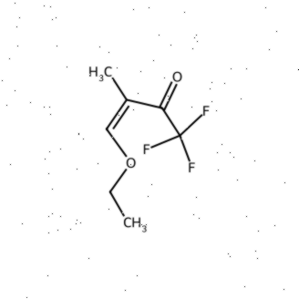 CCO/C=C(/C)C(=O)C(F)(F)F